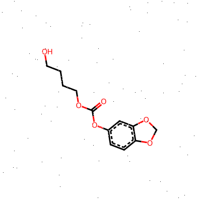 O=C(OCCCCO)Oc1ccc2c(c1)OCO2